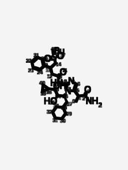 CC(C(N)=O)c1cnc(NC(=O)CC(CS(=O)(=O)C(C)(C)C)c2ccccc2)n1[C@@H](CC1CCCCC1)[C@@H](O)[C@@H](O)C1CC1